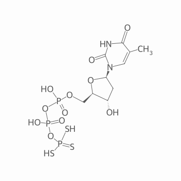 Cc1cn([C@H]2C[C@H](O)[C@@H](COP(=O)(O)OP(=O)(O)OP(=S)(S)S)O2)c(=O)[nH]c1=O